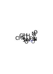 COc1ccc(Cn2ncc3c2/C(=C(\F)CNC(=O)NSc2cc(Cl)c(Cl)s2)CCC3)cn1